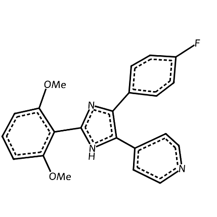 COc1cccc(OC)c1-c1nc(-c2ccc(F)cc2)c(-c2ccncc2)[nH]1